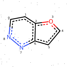 [c]1cc2occc2nn1